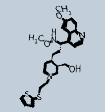 CON[C@@H](CC[C@@H]1CCN(CCSc2cccs2)C[C@@H]1CO)c1ccnc2ccc(OC)cc12